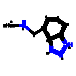 CCCCCCNCc1cccc2[nH]nnc12